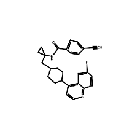 C#Cc1ccc(C(=O)NC2(CC3CCC(c4ccnc5ccc(F)cc45)CC3)CC2)cc1